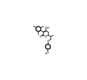 COc1ccc(SCC(C)C2CC(O)=C(c3c(C)cc(C)cc3C)C(=O)O2)cc1